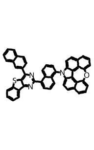 c1ccc2cc(-c3nc(-c4cccc5c(-n6c7ccc8cccc9oc%10cccc%11ccc6c(c%11%10)c7c89)cccc45)nc4c3sc3ccccc34)ccc2c1